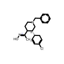 C/C(=N\O)C1CCN(Cc2ccccc2)C[C@@H]1C1C=CC(Cl)=CC1